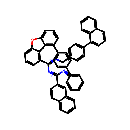 C=N/C(=N\C(=N/Cc1ccc(-c2cccc3ccccc23)cc1)c1cccc2oc3cccc(-c4ccc(-c5ccccc5)cc4)c3c12)c1ccc2ccccc2c1